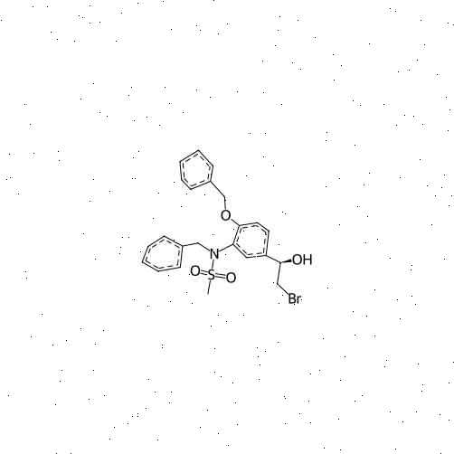 CS(=O)(=O)N(Cc1ccccc1)c1cc([C@@H](O)CBr)ccc1OCc1ccccc1